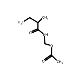 CCC(C)C(=O)NCOC(C)=O